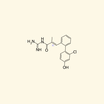 C/C(=C\c1ccccc1-c1ccc(O)cc1Cl)C(=O)NC(=N)N